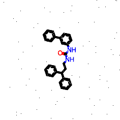 O=C(NCCC(c1ccccc1)c1ccccc1)Nc1cccc(-c2ccccc2)c1